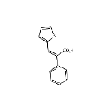 O=C(O)C(=Cc1cccs1)c1ccccc1